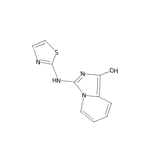 Oc1nc(Nc2nccs2)n2ccccc12